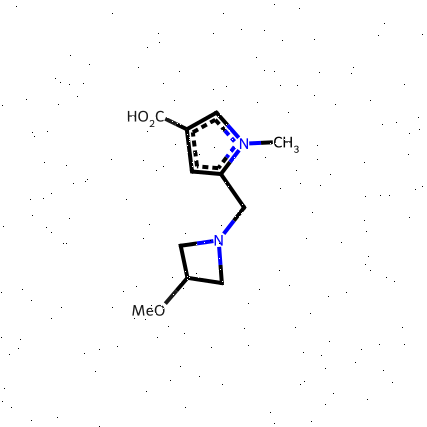 COC1CN(Cc2cc(C(=O)O)cn2C)C1